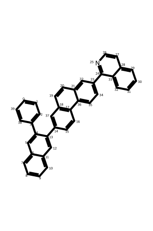 c1ccc(-c2cc3ccccc3cc2-c2ccc3c(ccc4cc(-c5nccc6ccccc56)ccc43)c2)cc1